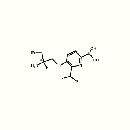 CC(C)C[C@@](C)(N)COc1ccc(B(O)O)nc1C(F)F